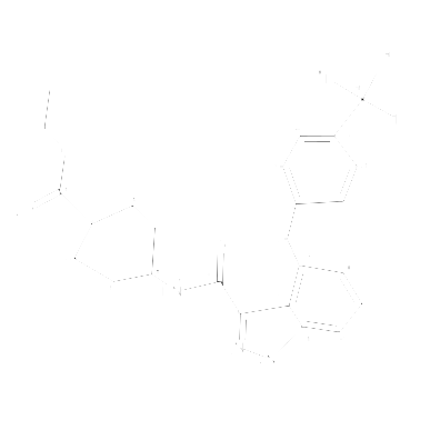 CCOC(=O)C1CCC(NC(=O)c2n[nH]c3cccc(Cc4ccc(C(F)(F)F)cc4)c23)CC1